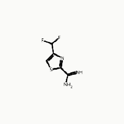 N=C(N)c1nc(C(F)F)cs1